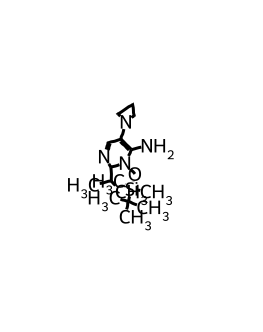 CC(C)C1N=CC(N2CCC2)=C(N)N1O[Si](C)(C)C(C)(C)C